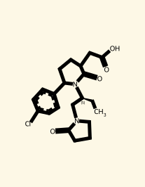 CC[C@@H](CN1CCCC1=O)N1C(=O)C(CC(=O)O)CCC1c1ccc(Cl)cc1